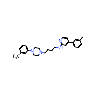 Cc1cccc(-c2ccnc(NCCCCN3CCN(c4cccc(C(F)(F)F)c4)CC3)c2)c1